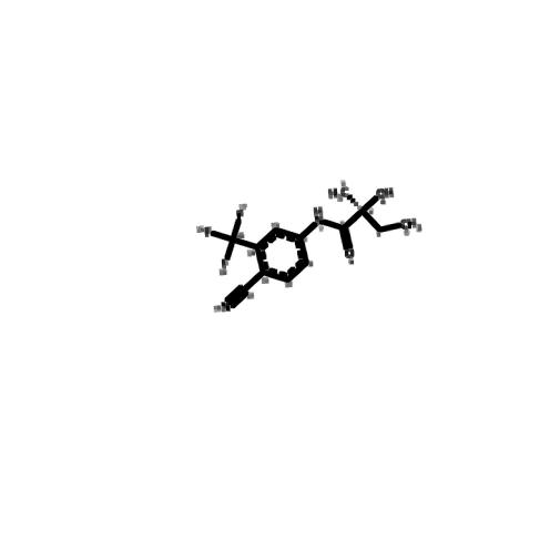 CC[C@](C)(O)C(=O)Nc1ccc(C#N)c(C(F)(F)F)c1